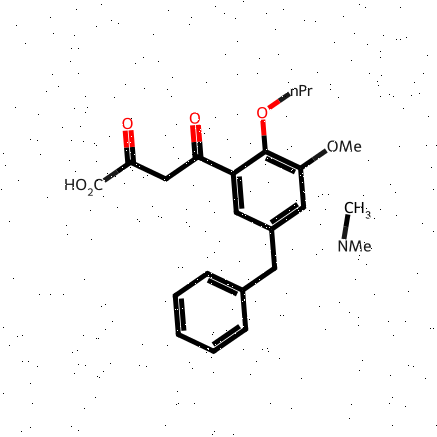 CCCOc1c(OC)cc(Cc2ccccc2)cc1C(=O)CC(=O)C(=O)O.CNC